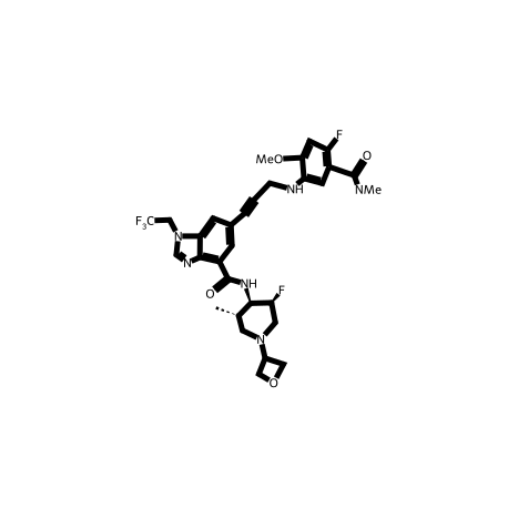 CNC(=O)c1cc(NCC#Cc2cc(C(=O)N[C@@H]3[C@@H](C)CN(C4COC4)C[C@@H]3F)c3ncn(CC(F)(F)F)c3c2)c(OC)cc1F